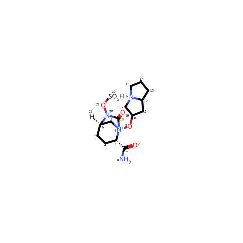 NC(=O)[C@@H]1CC[C@@H]2C[N+]1(OC1CC3CCCN3C1)C(=O)N2OS(=O)(=O)O